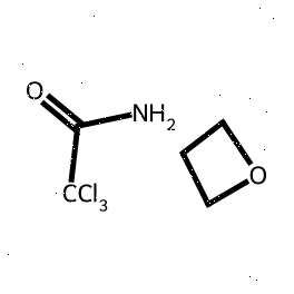 C1COC1.NC(=O)C(Cl)(Cl)Cl